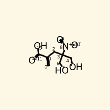 C=C(CC(CO)(CO)[N+](=O)[O-])C(=O)O